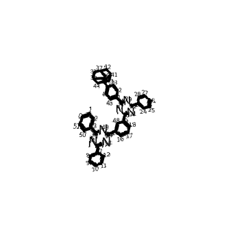 c1ccc(-c2nc(-c3ccccc3)nc(-c3cccc(-c4nc(-c5ccccc5)nc(-c5ccc(C67CC8CC(CC(C8)C6)C7)cc5)n4)c3)n2)cc1